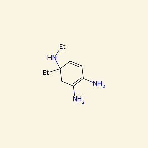 CCNC1(CC)C=CC(N)=C(N)C1